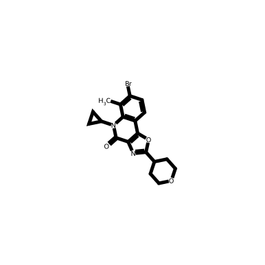 Cc1c(Br)ccc2c3oc(C4CCOCC4)nc3c(=O)n(C3CC3)c12